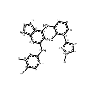 COc1c(Nc2cc(Nc3cc(C)c(F)cn3)nc3[nH]cnc23)cccc1-c1ncn(C)n1